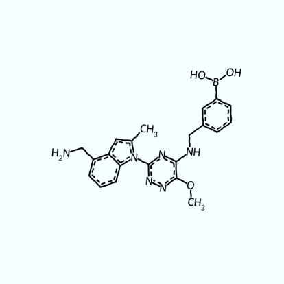 COc1nnc(-n2c(C)cc3c(CN)cccc32)nc1NCc1cccc(B(O)O)c1